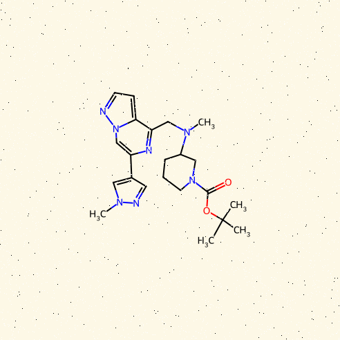 CN(Cc1nc(-c2cnn(C)c2)cn2nccc12)C1CCCN(C(=O)OC(C)(C)C)C1